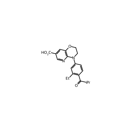 CCc1cc(N2CCOc3cc(C(=O)O)cnc32)ccc1C(=O)C(C)C